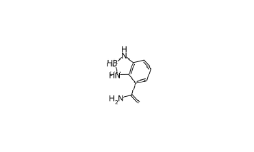 C=C(N)c1cccc2c1NBN2